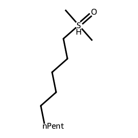 CCCCCCCCCC[SH](C)(C)=O